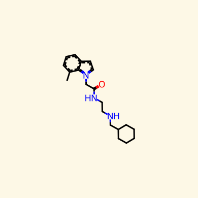 Cc1cccc2ccn(CC(=O)NCCNCC3CCCCC3)c12